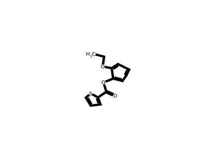 CCOc1ccccc1OC(=O)c1cccs1